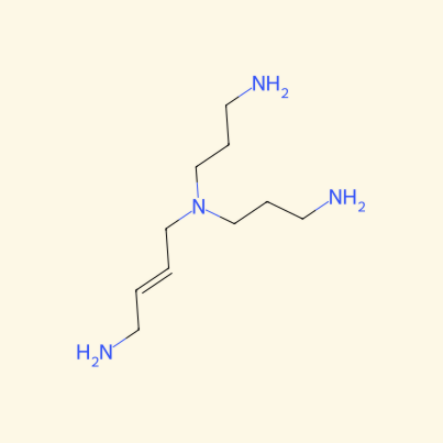 NCC=CCN(CCCN)CCCN